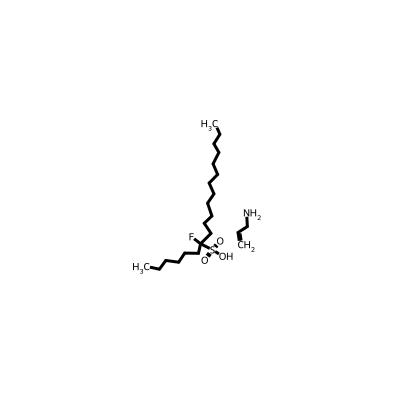 C=CCN.CCCCCCCCCCCCC(F)(CCCCCC)S(=O)(=O)O